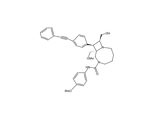 COC[C@@]12CN(C(=O)Nc3ccc(OC)cc3)CCCCN1[C@H](CO)[C@@H]2c1ccc(C#Cc2ccccc2)cc1